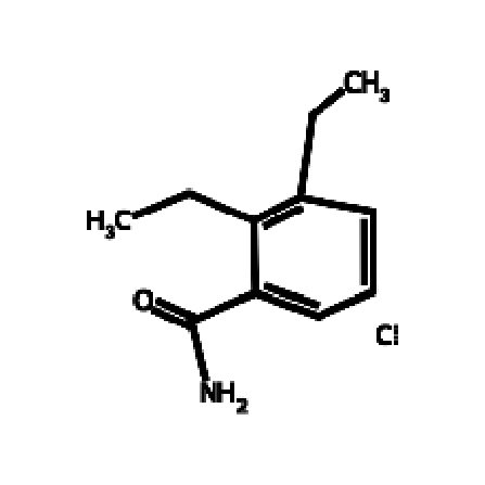 CCc1cccc(C(N)=O)c1CC.[C]